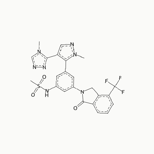 Cn1cnnc1-c1cnn(C)c1-c1cc(NS(C)(=O)=O)cc(N2Cc3c(cccc3C(F)(F)F)C2=O)c1